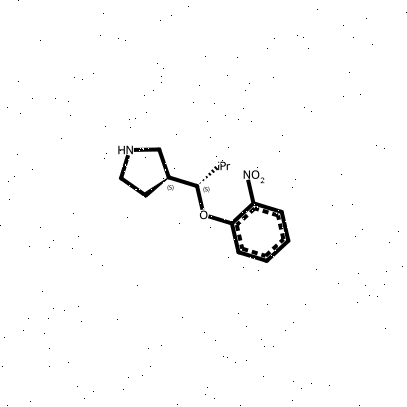 CC(C)[C@H](Oc1ccccc1[N+](=O)[O-])[C@H]1CCNC1